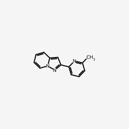 Cc1cccc(-c2cc3ccccn3n2)n1